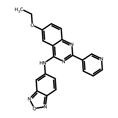 CCOc1ccc2nc(-c3cccnc3)nc(Nc3ccc4nonc4c3)c2c1